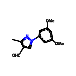 COc1cc(OC)cc(-n2cc(C=O)c(C)n2)c1